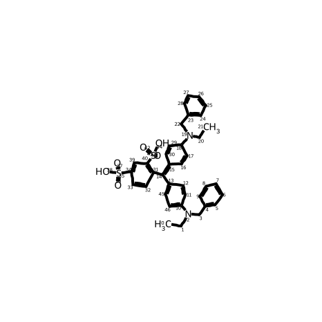 CCN(Cc1ccccc1)c1ccc(C(=C2C=CC(N(CC)Cc3ccccc3)C=C2)c2ccc(S(=O)(=O)O)cc2S(=O)(=O)O)cc1